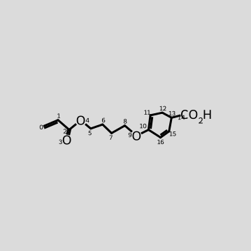 C=CC(=O)OCCCCOC1=CCC(C(=O)O)C=C1